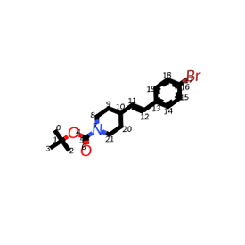 CC(C)(C)OC(=O)N1CCC(/C=C/c2ccc(Br)cc2)CC1